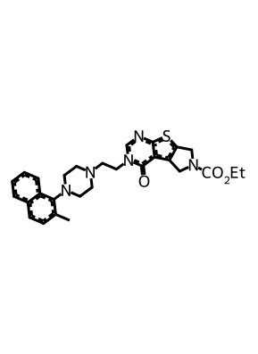 CCOC(=O)N1Cc2sc3ncn(CCN4CCN(c5c(C)ccc6ccccc56)CC4)c(=O)c3c2C1